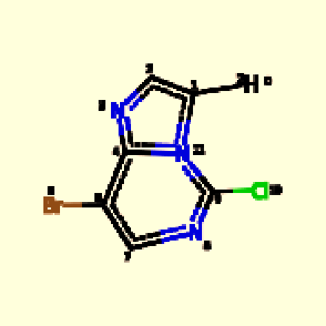 [2H]c1cnc2c(Br)cnc(Cl)n12